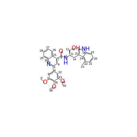 COc1cc(-c2cc(C(=O)N[C@@H](CO)Cc3c[nH]c4cccc(C)c34)c3ccccc3n2)cc(OC)c1OC